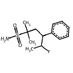 CC(F)C(CC(C)(C)S(N)(=O)=O)c1ccccc1